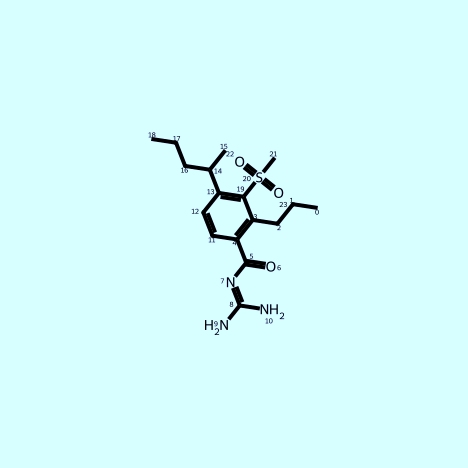 CCCc1c(C(=O)N=C(N)N)ccc(C(C)CCC)c1S(C)(=O)=O